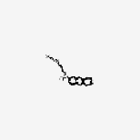 [O-][S+](C=CCCN=C=S)c1ccc2cc3ccccc3cc2c1